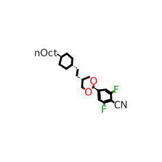 CCCCCCCC[C@H]1CC[C@H](CC[C@H]2CO[C@H](c3cc(F)c(C#N)c(F)c3)OC2)CC1